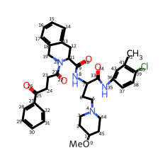 COC1CCN(CCC(NC(=O)C2Cc3ccccc3CN2C(=O)CCC(=O)c2ccccc2)C(=O)Nc2ccc(Cl)c(C)c2)CC1